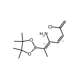 C=C(Cl)/C=C\C(N)=C(/C)B1OC(C)(C)C(C)(C)O1